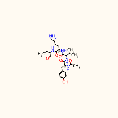 CCC(C=O)NC(=O)[C@H](CCCCN)NC(=O)[C@@H](NC(=O)[C@H](Cc1ccc(O)cc1)NC(C)=O)C(C)C